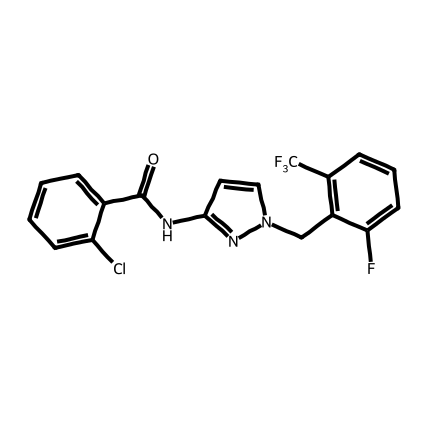 O=C(Nc1ccn(Cc2c(F)cccc2C(F)(F)F)n1)c1ccccc1Cl